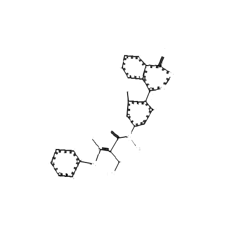 C/C(Nc1ccccc1)=C(/CN)C(=O)N(N)c1ccc(-c2n[nH]c(=O)c3ccccc23)c(C)c1